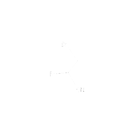 N#CC(Br)CBr